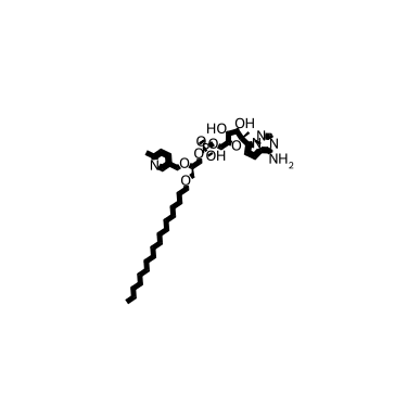 CCCCCCCCCCCCCCCCCCOC[C@H](COP(=O)(O)OCC1O[C@@](C)(c2ccc3c(N)ncnn23)[C@H](O)[C@@H]1O)OCc1ccc(C)nc1